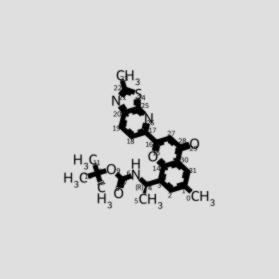 Cc1cc([C@@H](C)NC(=O)OC(C)(C)C)c2oc(-c3ccc4nc(C)sc4n3)cc(=O)c2c1